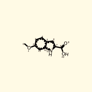 COc1ccc2[c]c(C(=O)O)[nH]c2c1